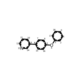 c1ccc(Oc2ccc(-c3cccnc3)cc2)cc1